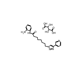 Nc1ccccc1NC(=O)CCCCCCCn1cc(-c2cccnc2)nn1.O=C(O)C(O)C(O)C(=O)O